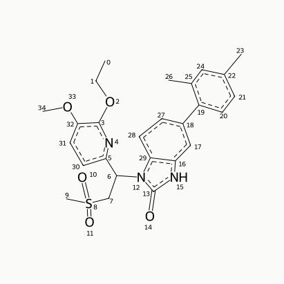 CCOc1nc(C(CS(C)(=O)=O)n2c(=O)[nH]c3cc(-c4ccc(C)cc4C)ccc32)ccc1OC